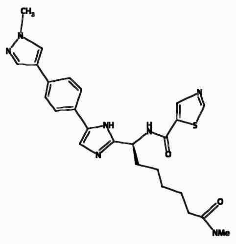 CNC(=O)CCCCC[C@H](NC(=O)c1cncs1)c1ncc(-c2ccc(-c3cnn(C)c3)cc2)[nH]1